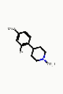 COc1ccc(C2CCN(C(=O)O)CC2)c(C(C)C)c1